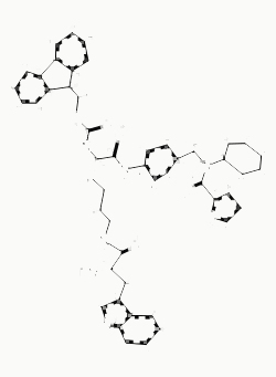 N[C@@H](Cc1c[nH]c2ccccc12)C(=O)NCCCC[C@H](NC(=O)OCC1c2ccccc2-c2ccccc21)C(=O)Nc1ccc(CN(C(=O)c2ccco2)C2CCCCC2)cc1